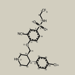 N#Cc1cc(S(=O)(=O)NCC(F)(F)F)ccc1OC[C@@H]1CNCC[C@H]1c1ccc(Cl)cc1